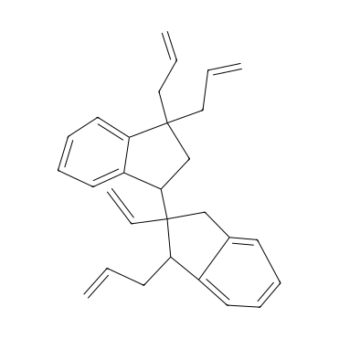 C=CCC1c2ccccc2CC1(C=C)C1CC(CC=C)(CC=C)c2ccccc21